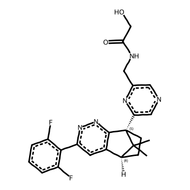 CC1(C)[C@H]2CC[C@]1(c1cncc(CNC(=O)CO)n1)c1nnc(-c3c(F)cccc3F)cc12